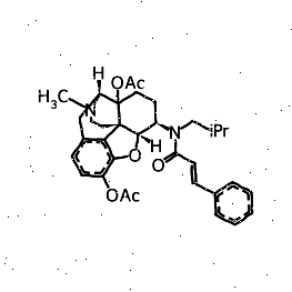 CC(=O)Oc1ccc2c3c1O[C@H]1[C@H](N(CC(C)C)C(=O)C=Cc4ccccc4)CCC4(OC(C)=O)[C@@H](C2)N(C)CC[C@]314